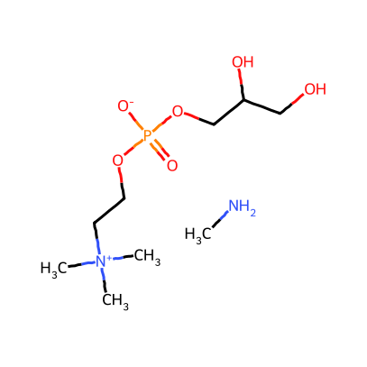 CN.C[N+](C)(C)CCOP(=O)([O-])OCC(O)CO